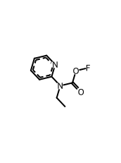 CCN(C(=O)OF)c1ccccn1